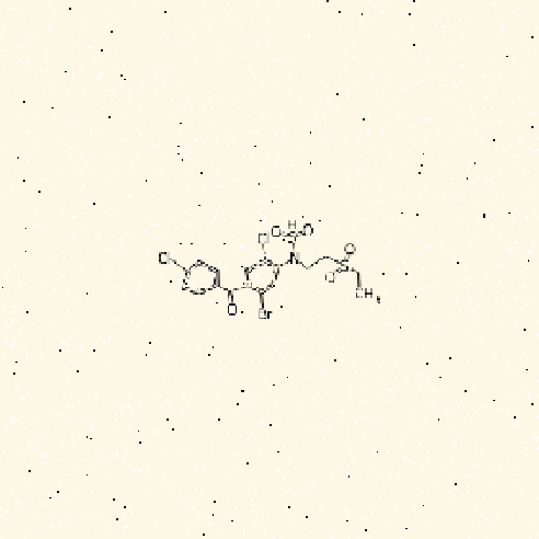 CCS(=O)(=O)CCN(c1cc(Br)c(C(=O)c2ccc(Cl)cc2)cc1Cl)[SH](=O)=O